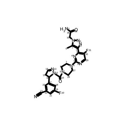 Cc1c(-c2nc(N3CCN(C(=O)N4N=CCC4c4cc(F)cc(C#N)c4)CC3)ncc2F)nnn1CC(N)=O